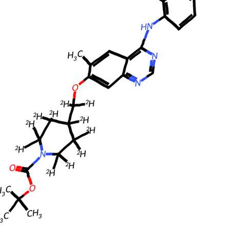 [2H]C([2H])(Oc1cc2ncnc(Nc3ccc(Br)cc3F)c2cc1C)C1([2H])C([2H])([2H])C([2H])([2H])N(C(=O)OC(C)(C)C)C([2H])([2H])C1([2H])[2H]